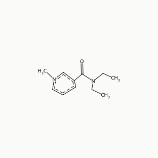 CCN(CC)C(=O)c1ccc[n+](C)c1